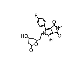 CC(C)c1c2c(c(-c3ccc(F)cc3)n1CCC1CC(O)CC(=O)O1)C(=O)N(C)C2=O